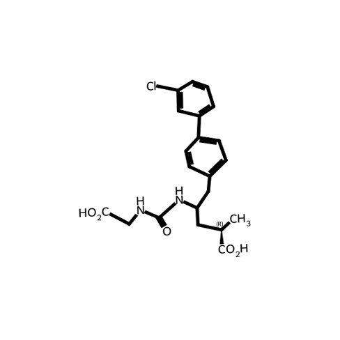 C[C@H](CC(Cc1ccc(-c2cccc(Cl)c2)cc1)NC(=O)NCC(=O)O)C(=O)O